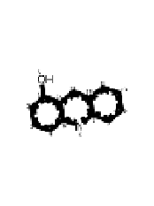 Oc1cccc2nc3ccccc3cc12